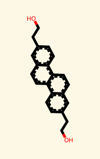 OCCc1ccc2c(ccc3c4ccc(CCO)cc4ccc23)c1